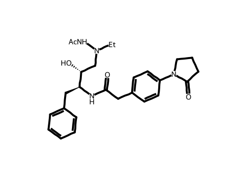 CCN(C[C@@H](O)[C@H](Cc1ccccc1)NC(=O)Cc1ccc(N2CCCC2=O)cc1)NC(C)=O